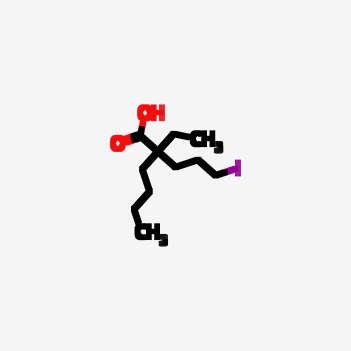 CCCCC(CC)(CCCI)C(=O)O